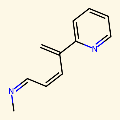 C=C(/C=C\C=N/C)c1ccccn1